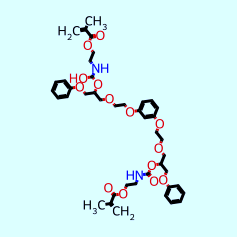 C=C(C)C(=O)OCCNC(=O)OC(COCCOc1cccc(OCCOCC(COc2ccccc2)OC(O)NCCOC(=O)C(=C)C)c1)COc1ccccc1